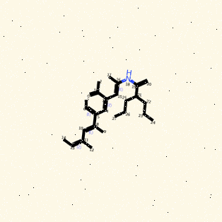 C=C(C)C(=C\C(=C/C)C(\C)=C\C(C)=C/C)/C=C(\C)NC(=C)C(CCC)CCC